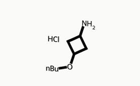 CCCCOC1CC(N)C1.Cl